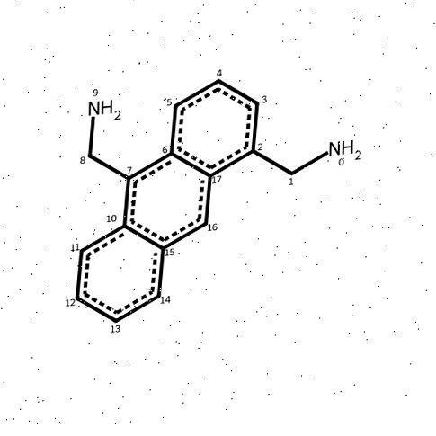 NCc1cccc2c(CN)c3ccccc3cc12